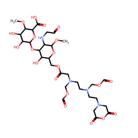 COC1OC(COC(=O)CN(CCN(CCN2CC(=O)OC(=O)C2)COC=O)COC=O)C(O)C(OC2OC(C(=O)O)C(OC)C(O)C2O)C1NCC=O